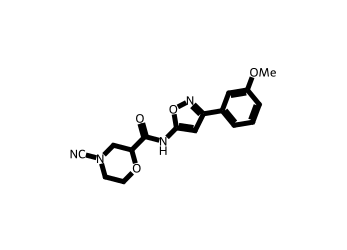 COc1cccc(-c2cc(NC(=O)C3CN(C#N)CCO3)on2)c1